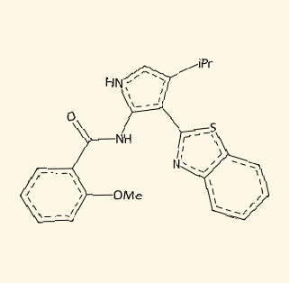 COc1ccccc1C(=O)Nc1[nH]cc(C(C)C)c1-c1nc2ccccc2s1